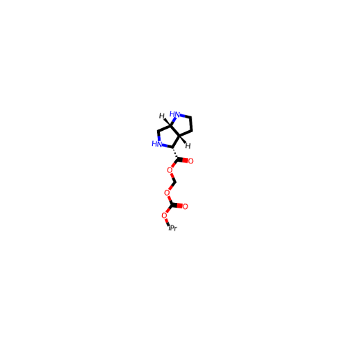 CC(C)OC(=O)OCOC(=O)[C@@H]1NC[C@@H]2NCC[C@@H]21